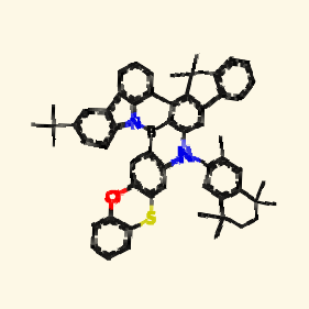 Cc1cc2c(cc1N1c3cc4c(cc3B3c5c1cc1c(c5-c5cccc6c7cc(C(C)(C)C)ccc7n3c56)C(C)(C)c3ccccc3-1)Oc1ccccc1S4)C(C)(C)CCC2(C)C